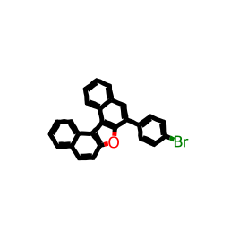 Brc1ccc(-c2cc3ccccc3c3c2oc2ccc4ccccc4c23)cc1